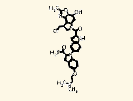 Cc1nc2c3c(cc(O)c2o1)N(C(=O)c1cc2cc(-n4c(C(N)=O)cc5cc(OCCN(C)C)ccc54)ccc2[nH]1)CC3CCl